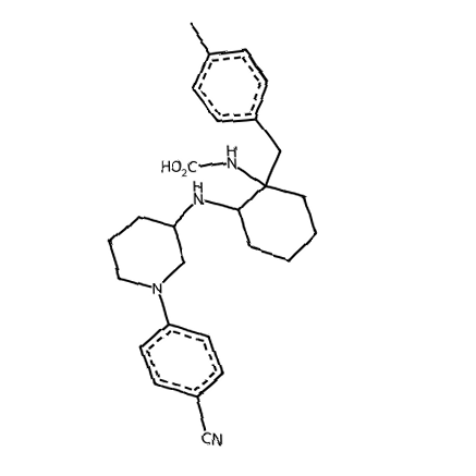 Cc1ccc(CC2(NC(=O)O)CCCCC2NC2CCCN(c3ccc(C#N)cc3)C2)cc1